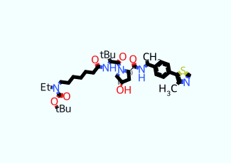 CCN(CCCCCCC(=O)NC(C(=O)N1C[C@H](O)C[C@H]1C(=O)NC(C)c1ccc(-c2scnc2C)cc1)C(C)(C)C)C(=O)OC(C)(C)C